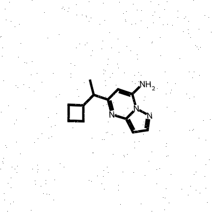 CC(c1cc(N)n2nccc2n1)C1CCC1